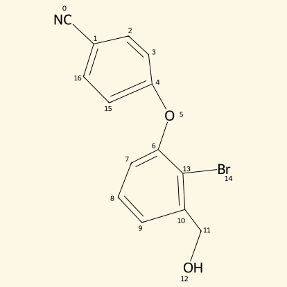 N#Cc1ccc(Oc2cccc(CO)c2Br)cc1